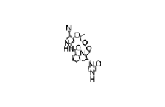 COCC(C)Oc1cc(NC(=O)c2cccc3cc(CN4CCNCC4=O)c(C=O)nc23)ncc1C#N